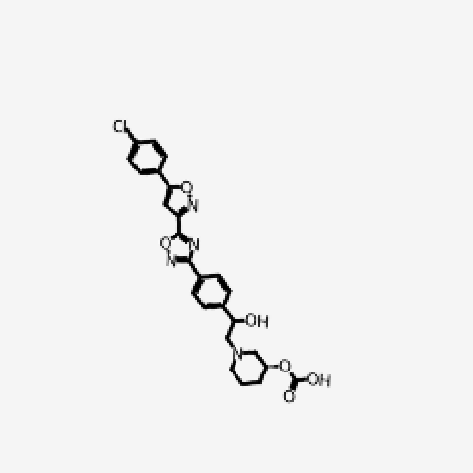 O=C(O)O[C@H]1CCCN(CC(O)c2ccc(-c3noc(-c4cc(-c5ccc(Cl)cc5)on4)n3)cc2)C1